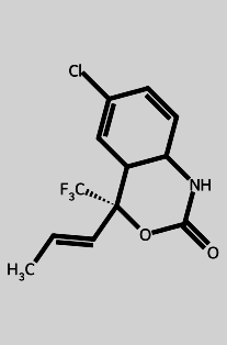 CC=C[C@]1(C(F)(F)F)OC(=O)NC2C=CC(Cl)=CC21